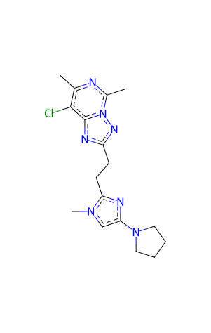 Cc1nc(C)n2nc(CCc3nc(N4CCCC4)cn3C)nc2c1Cl